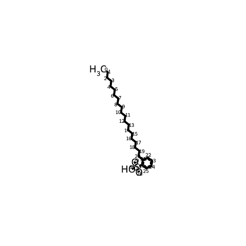 CCCCCCCCCCCCCCCCCCCCCc1ccccc1S(=O)(=O)O